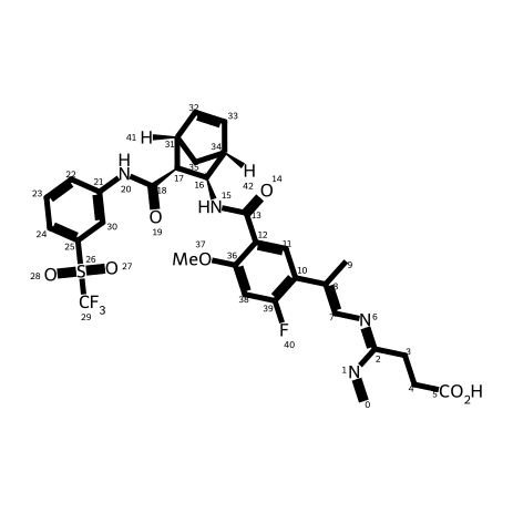 C=N/C(CCC(=O)O)=N\C=C(/C)c1cc(C(=O)N[C@H]2[C@@H](C(=O)Nc3cccc(S(=O)(=O)C(F)(F)F)c3)[C@@H]3C=C[C@H]2C3)c(OC)cc1F